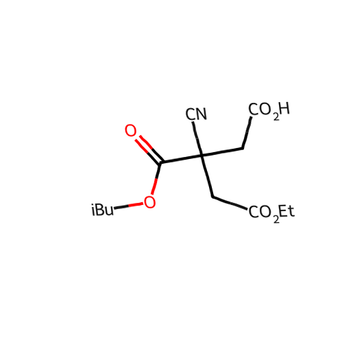 CCOC(=O)CC(C#N)(CC(=O)O)C(=O)OC(C)CC